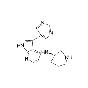 c1ncc(-c2c[nH]c3nccc(N[C@@H]4CCCNC4)c23)cn1